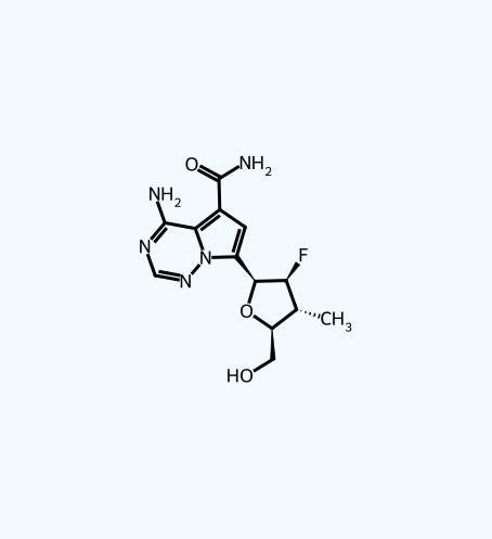 C[C@H]1[C@H](F)[C@H](c2cc(C(N)=O)c3c(N)ncnn23)O[C@@H]1CO